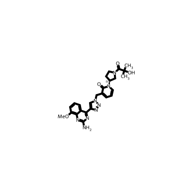 COc1cccc2c(-c3cn(Cc4cccn([C@H]5CCN(C(=O)C(C)(C)O)C5)c4=O)nn3)nc(N)nc12